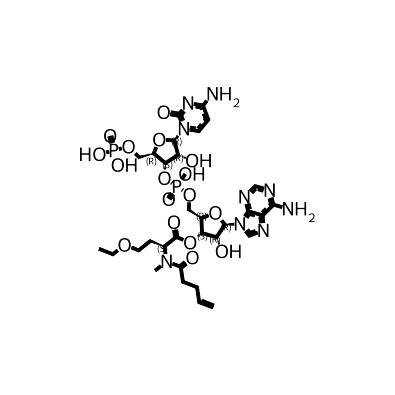 C=CCCC(=O)N(C)[C@@H](CCOCC)C(=O)O[C@H]1[C@@H](O)[C@H](n2cnc3c(N)ncnc32)O[C@@H]1COP(=O)(O)O[C@H]1[C@@H](O)[C@H](n2ccc(N)nc2=O)O[C@@H]1COP(=O)(O)O